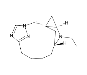 CCN1[C@@H]2CCCCc3ncn(n3)C[C@]3(C2)C[C@@H]13